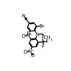 CCN(c1ccc(C#N)cc1Br)c1c([N+](=O)[O-])cc([N+](=O)[O-])cc1C(F)(F)F